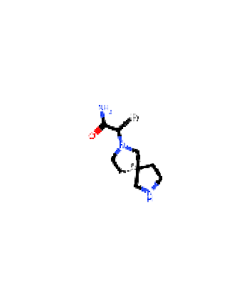 CC(C)C(C(N)=O)N1CC[C@@]2(CCNC2)C1